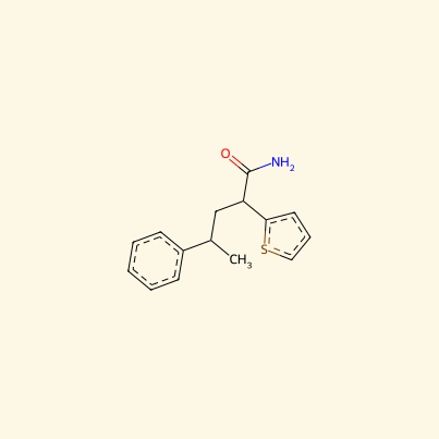 CC(CC(C(N)=O)c1cccs1)c1ccccc1